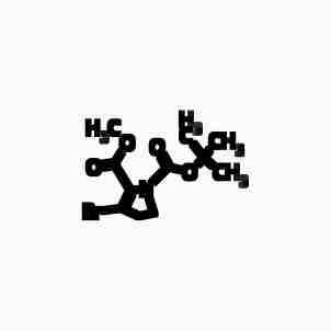 COC(=O)C1=C(Br)CCN1C(=O)OC(C)(C)C